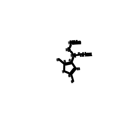 CCCCCCN(SNC)C1=C(C)CC(C)=C1